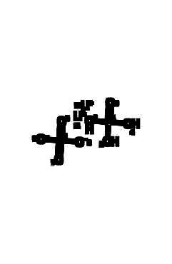 O=P(O)(O)O.O=S(=O)([O-])[O-].[Li+].[Li+]